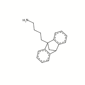 NCCCCC12CC(c3ccccc31)c1ccccc12